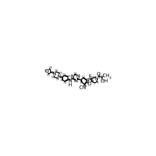 CC(O)C(=O)N1CC[C@@H](Oc2ccc(-c3ncnc(Nc4ccc(N5CCN(C6COC6)CC5)cc4)n3)cc2C#N)C(F)(F)C1